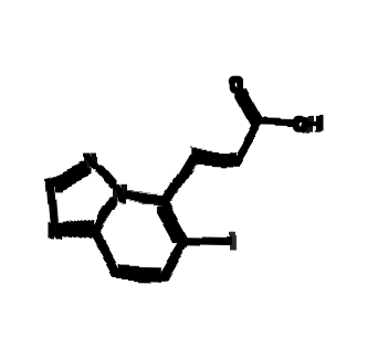 O=C(O)C=Cc1c(I)ccc2ncnn12